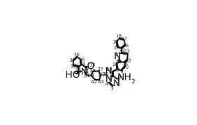 Nc1nccn2c1c(-c1ccc3ccc(-c4ccccc4)nc3c1)nc2[C@H]1CC[C@H](CN2C(=O)c3ccccc3C2O)CC1